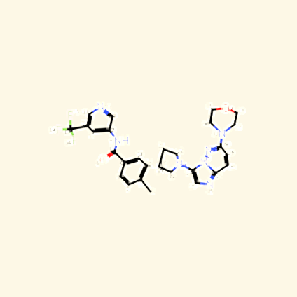 Cc1ccc(C(=O)Nc2cncc(C(F)(F)F)c2)cc1[C@@H]1CCN(c2cnc3ccc(N4CCOCC4)nn23)C1